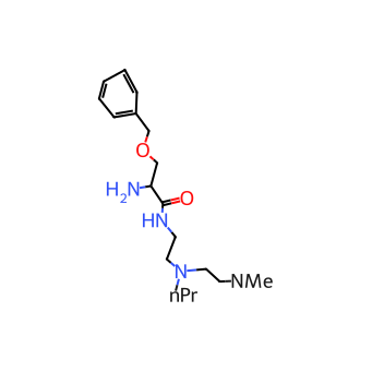 CCCN(CCNC)CCNC(=O)C(N)COCc1ccccc1